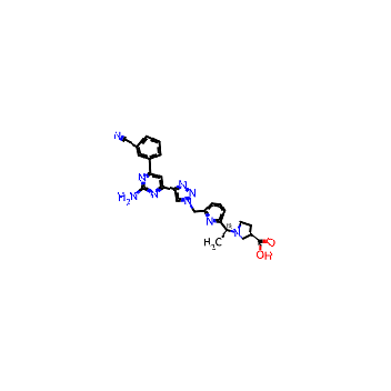 C[C@@H](c1cccc(Cn2cc(-c3cc(-c4cccc(C#N)c4)nc(N)n3)nn2)n1)N1CCC(C(=O)O)C1